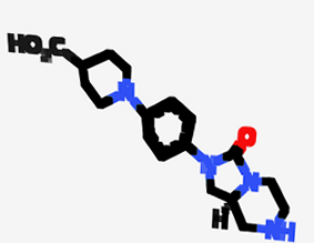 O=C(O)C1CCN(c2ccc(N3C[C@@H]4CNCCN4C3=O)cc2)CC1